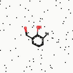 [2H]c1cccc(C=O)c1O